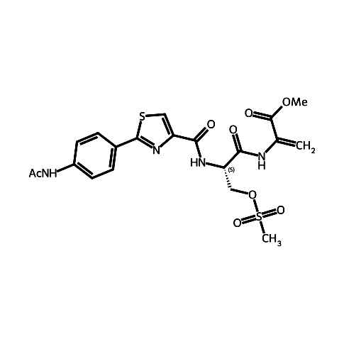 C=C(NC(=O)[C@H](COS(C)(=O)=O)NC(=O)c1csc(-c2ccc(NC(C)=O)cc2)n1)C(=O)OC